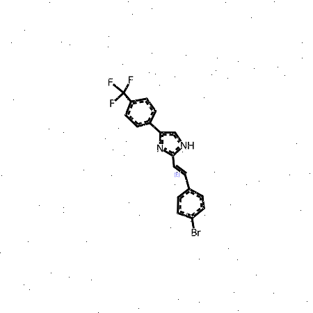 FC(F)(F)c1ccc(-c2c[nH]c(/C=C/c3ccc(Br)cc3)n2)cc1